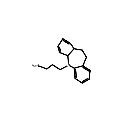 CNCCCN1c2ccccc2CCC2C=CC=CC21